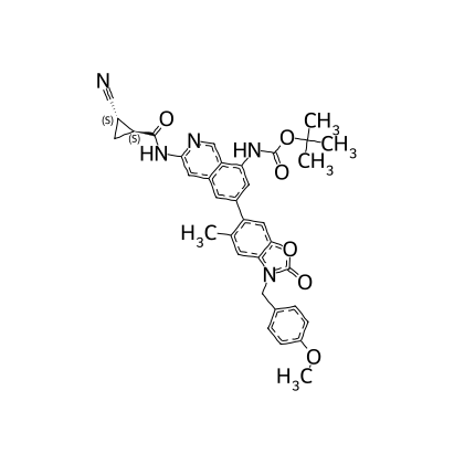 COc1ccc(Cn2c(=O)oc3cc(-c4cc(NC(=O)OC(C)(C)C)c5cnc(NC(=O)[C@H]6C[C@@H]6C#N)cc5c4)c(C)cc32)cc1